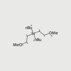 CCCC[N+](CCCC)(CCOC)CCOC